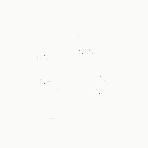 CC(=O)C1CCCCC1(NCCCn1ccnc1)C(=O)NC=Cc1c[nH]c2cnc(OCc3ccccc3)cc12